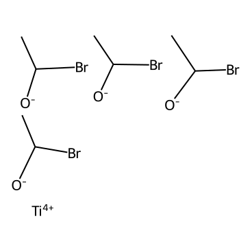 CC([O-])Br.CC([O-])Br.CC([O-])Br.CC([O-])Br.[Ti+4]